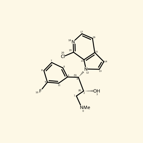 CNC[C@@H](O)[C@H](c1cccc(F)c1)n1ccc2ccnc(Cl)c21